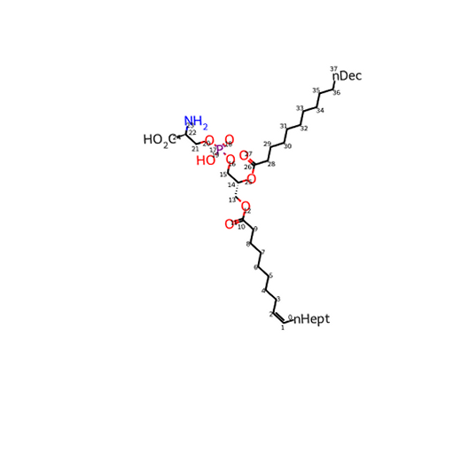 CCCCCCC/C=C\CCCCCCCC(=O)OC[C@H](COP(=O)(O)OC[C@H](N)C(=O)O)OC(=O)CCCCCCCCCCCCCCCCCCC